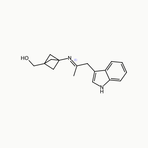 C/C(Cc1c[nH]c2ccccc12)=N\C12CC(CO)(C1)C2